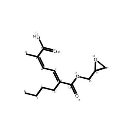 CCCCC(=CC=C(C)C(=O)O)C(=O)OCC1CO1